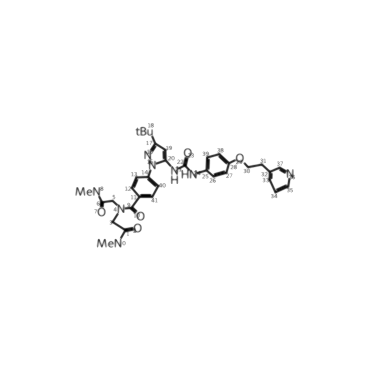 CNC(=O)CN(CC(=O)NC)C(=O)c1ccc(-n2nc(C(C)(C)C)cc2NC(=O)Nc2ccc(OCCc3cccnc3)cc2)cc1